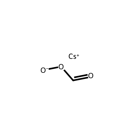 O=CO[O-].[Cs+]